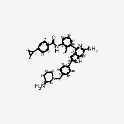 Cc1c(NC(=O)c2ccc(C3CC3)cc2)cccc1-c1nc(N)nc2[nH]c(-c3ccc(CN4CCCC(N)C4)cc3)cc12